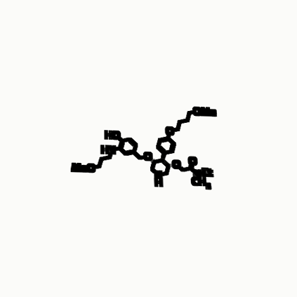 CCN(C)C(=O)CO[C@@H]1CNC[C@H](OCc2ccc(O)c(NCCCOC)c2)[C@H]1c1ccc(OCCCCOC)cc1